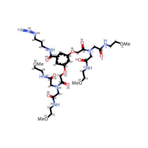 COCCNC(=O)CN(CC(=O)NCCOC)C(=O)COc1cc(OCC(=O)N(CC(=O)NCCOC)CC(=O)NCCOC)cc(C(=O)NCCCN=[N+]=[N-])c1